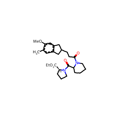 CCOC(=O)[C@@H]1CCCN1C(=O)C1CCCCN1C(=O)CCC1Cc2cc(C)c(OC)cc2C1